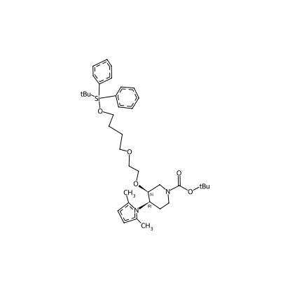 Cc1ccc(C)n1[C@@H]1CCN(C(=O)OC(C)(C)C)C[C@@H]1OCCOCCCCO[Si](c1ccccc1)(c1ccccc1)C(C)(C)C